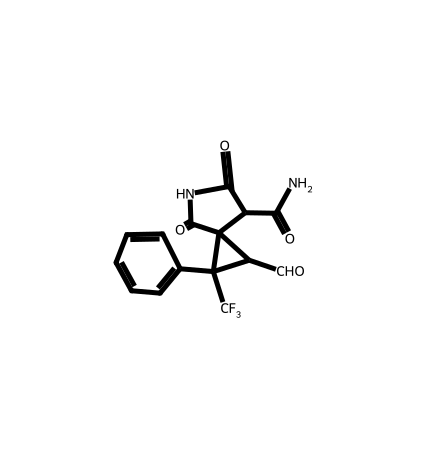 NC(=O)C1C(=O)NC(=O)C12C(C=O)C2(c1ccccc1)C(F)(F)F